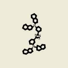 c1cc(-c2nsc(-c3cccc(N(c4ccc5ccccc5c4)c4ccc5ccccc5c4)c3)n2)cc(N(c2ccc3ccccc3c2)c2ccc3ccccc3c2)c1